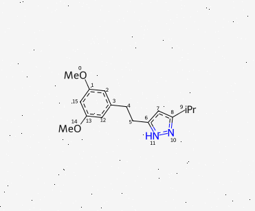 COc1cc(CCc2cc(C(C)C)n[nH]2)cc(OC)c1